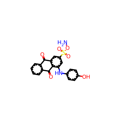 NOS(=O)(=O)c1cc(Nc2ccc(O)cc2)c2c(c1)C(=O)c1ccccc1C2=O